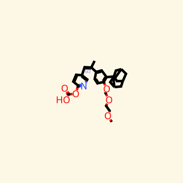 COCCOCOc1ccc(/C(C)=C\c2ccc(OC(=O)O)nc2)cc1C12CC3CC(CC(C3)C1)C2